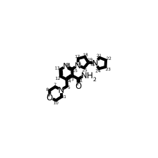 NC(=O)c1c(CN2CCOCC2)ccnc1N1CCC(N2CCCC2)C1